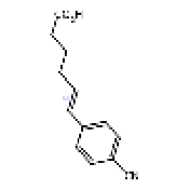 N#Cc1ccc(/C=C/CCCC(=O)O)cc1